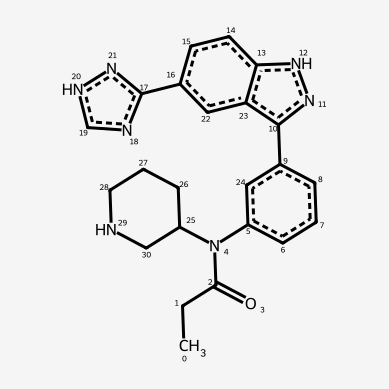 CCC(=O)N(c1cccc(-c2n[nH]c3ccc(-c4nc[nH]n4)cc23)c1)C1CCCNC1